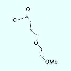 COCCOCCCC(=O)Cl